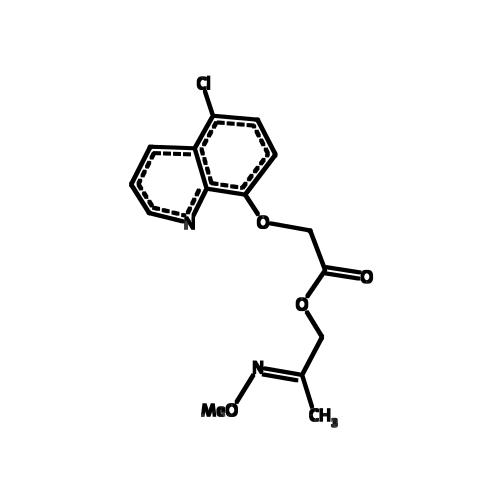 CON=C(C)COC(=O)COc1ccc(Cl)c2cccnc12